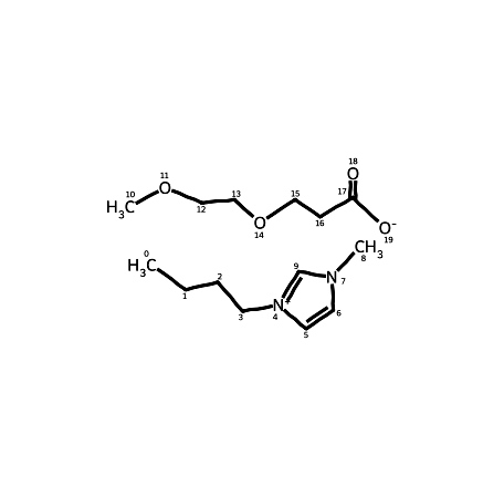 CCCC[n+]1ccn(C)c1.COCCOCCC(=O)[O-]